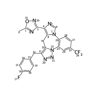 Cc1nc(-c2ncn3c2Cc2c(Cc4ccc(F)cc4)nnn2-c2cc(C(F)(F)F)ccc2-3)no1